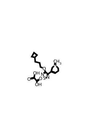 CN1CCC=C(c2nsnc2OCCCC2CCC2)C1.O=C(O)C(=O)O